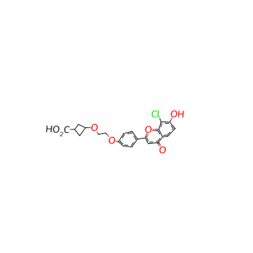 O=C(O)C1CC(OCCOc2ccc(-c3cc(=O)c4ccc(O)c(Cl)c4o3)cc2)C1